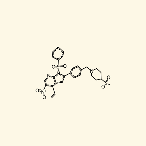 C=Cc1c([N+](=O)[O-])cnc2c1cc(-c1ccc(CN3CCC(S(C)(=O)=O)CC3)cc1)n2S(=O)(=O)c1ccccc1